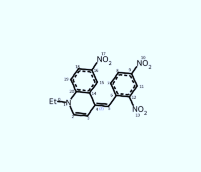 CCN1C=C/C(=C/c2ccc([N+](=O)[O-])cc2[N+](=O)[O-])c2cc([N+](=O)[O-])ccc21